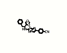 N#Cc1ccc(-c2cn3nc(NC(Cc4ccccc4)C4=COCO4)sc3n2)cc1